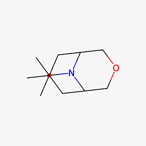 CC1CC2COCC(C1)N2C(C)C